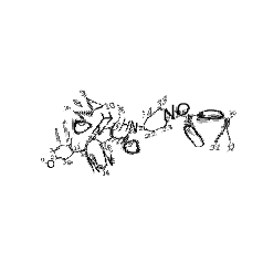 COc1ccc(OCC2CC2)c(-c2ncnc3c(C(=O)NC4CCN(OC(=O)OC(C)(C)C)CC4)c(C)[nH]c23)c1